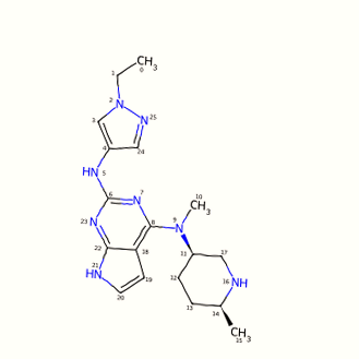 CCn1cc(Nc2nc(N(C)[C@@H]3CC[C@H](C)NC3)c3cc[nH]c3n2)cn1